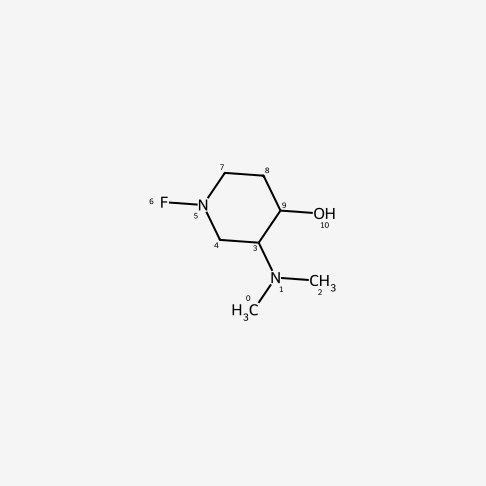 CN(C)C1CN(F)CCC1O